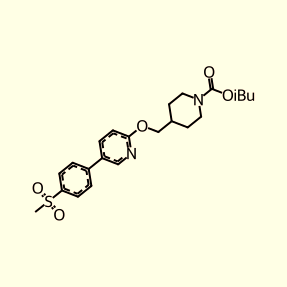 CC(C)COC(=O)N1CCC(COc2ccc(-c3ccc(S(C)(=O)=O)cc3)cn2)CC1